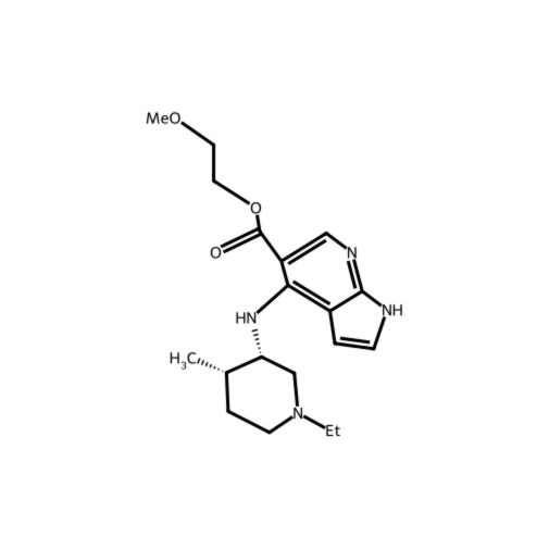 CCN1CC[C@H](C)[C@H](Nc2c(C(=O)OCCOC)cnc3[nH]ccc23)C1